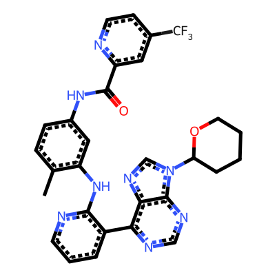 Cc1ccc(NC(=O)c2cc(C(F)(F)F)ccn2)cc1Nc1ncccc1-c1ncnc2c1ncn2C1CCCCO1